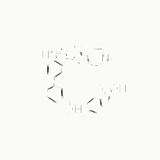 CN1CCC(C(=O)Nc2n[nH]c3ccc(-c4cccc(CO)c4)cc23)CC1.Cc1ccc(S(=O)(=O)O)cc1